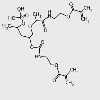 C=C(C)C(=O)OCCNC(=O)OC(COC(C)C(=O)NCCOC(=O)C(=C)C)CC(C)OP(=O)(O)O